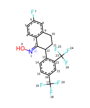 O/N=C1\c2ccc(F)cc2CCC1c1ccc(C(F)(F)F)cc1C(F)(F)F